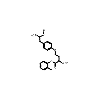 CCCCCCN(CCOc1ccc(CC(OCC)C(=O)O)cc1)C(=O)Oc1ccccc1C